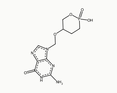 Nc1nc2c(ncn2COC2CCP(=O)(O)OC2)c(=O)[nH]1